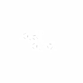 Cc1cccc(N(Cc2ccc(C(C)C)cc2)c2cc(C(=O)O)n(CCCOc3cc(C)c(Cl)c(C)c3)c2)c1